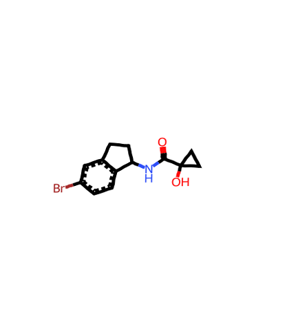 O=C(NC1CCc2cc(Br)ccc21)C1(O)CC1